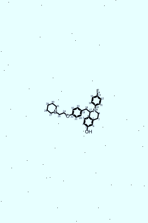 Oc1ccc2c(c1)CCN(c1ccc(F)cc1)C2Cc1ccc(OCCN2CCCCC2)cc1